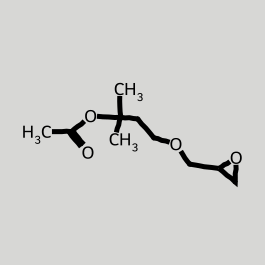 CC(=O)OC(C)(C)CCOCC1CO1